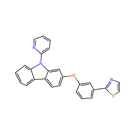 c1ccc(-n2c3ccccc3c3ccc(Oc4cccc(-c5nccs5)c4)cc32)nc1